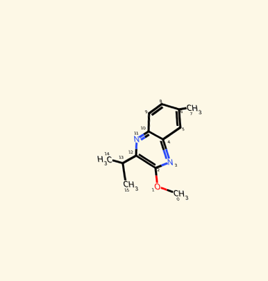 COc1nc2cc(C)ccc2nc1C(C)C